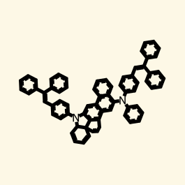 C1=CC2N(c3ccc(C=C(c4ccccc4)c4ccccc4)cc3)c3cc4c(cc(N(c5ccccc5)c5ccc(C=C(c6ccccc6)c6ccccc6)cc5)c5ccccc54)c4c3C2(C=C1)C=CC4